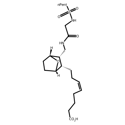 CCCCCS(=O)(=O)NCC(=O)NC[C@@H]1[C@H](CC/C=C\CCCC(=O)O)[C@@H]2CC[C@H]1O2